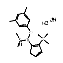 Cc1cc(C)cc([O][Ti]([C]2=C([Si](C)(C)C)C=CC2)[SiH](C)C)c1.Cl.Cl